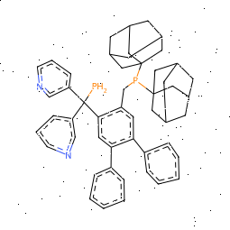 PC(c1cccnc1)(c1cccnc1)c1cc(-c2ccccc2)c(-c2ccccc2)cc1CP(C12CC3CC(CC(C3)C1)C2)C12CC3CC(CC(C3)C1)C2